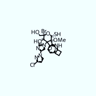 CO[C@@]1(C(=O)NC2CCC2)[C@@H](S)O[C@](Br)(CO)[C@H](O)C1(c1cccnc1)n1cc(-n2ccc(Cl)n2)nn1